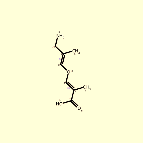 C/C(=C\O/C=C(\C)C(=O)O)CN